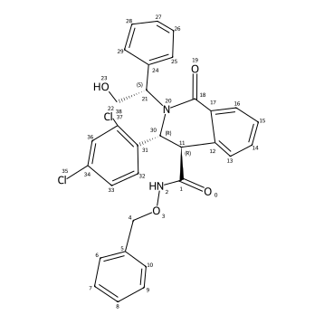 O=C(NOCc1ccccc1)[C@@H]1c2ccccc2C(=O)N([C@H](CO)c2ccccc2)[C@H]1c1ccc(Cl)cc1Cl